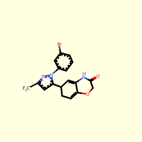 O=C1COC2=CCC(c3cc(C(F)(F)F)nn3-c3cccc(Br)c3)C=C2N1